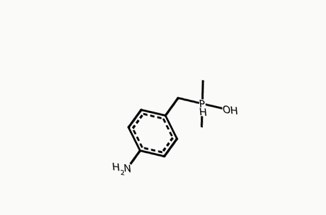 C[PH](C)(O)Cc1ccc(N)cc1